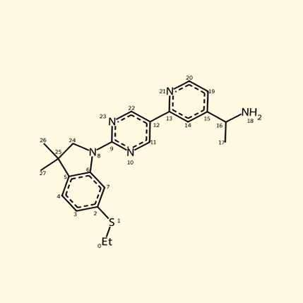 CCSc1ccc2c(c1)N(c1ncc(-c3cc(C(C)N)ccn3)cn1)CC2(C)C